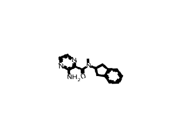 CN(C(=O)c1nccnc1N)C1Cc2ccccc2C1